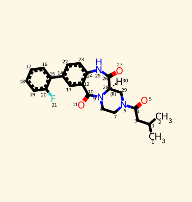 CC(C)CC(=O)N1CCN2C(=O)c3cc(-c4ccccc4F)ccc3NC(=O)[C@H]2C1